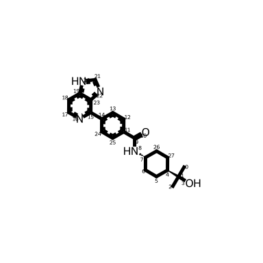 CC(C)(O)[C@H]1CC[C@H](NC(=O)c2ccc(-c3nccc4[nH]cnc34)cc2)CC1